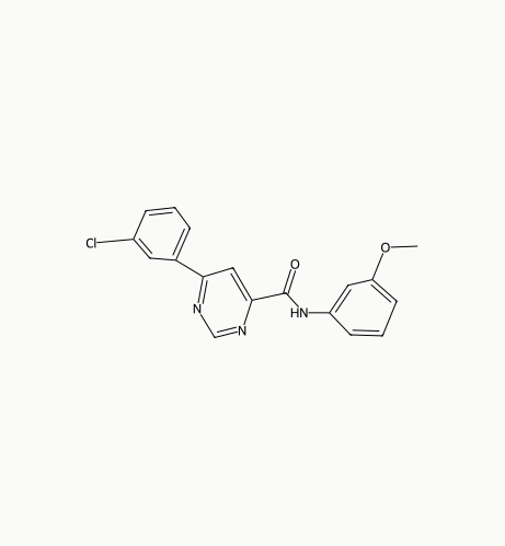 COc1cccc(NC(=O)c2cc(-c3cccc(Cl)c3)ncn2)c1